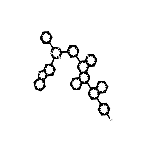 N#Cc1ccc(-c2ccc(-c3cc4c5cccnc5c(-c5cccc(-c6nc(-c7ccccc7)nc(-c7ccc8c(c7)sc7ccccc78)n6)c5)cc4c4ccccc34)c3ccccc23)cc1